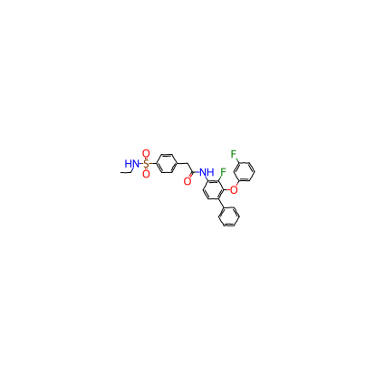 CCNS(=O)(=O)c1ccc(CC(=O)Nc2ccc(-c3ccccc3)c(Oc3cccc(F)c3)c2F)cc1